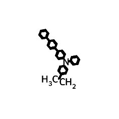 C=C(C)c1ccc(N(c2ccccc2)c2ccc(-c3ccc(-c4ccccc4)cc3)cc2)cc1